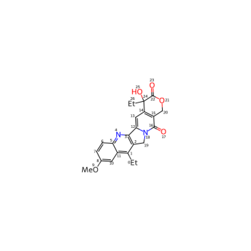 CCc1c2c(nc3ccc(OC)cc13)-c1cc3c(c(=O)n1C2)COC(=O)C3(O)CC